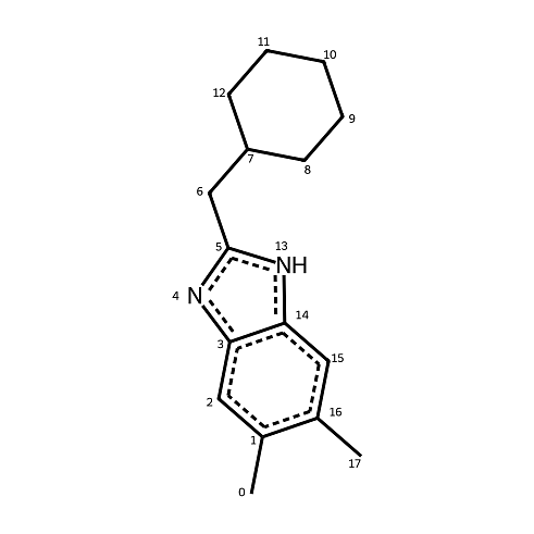 Cc1cc2nc(CC3CCCCC3)[nH]c2cc1C